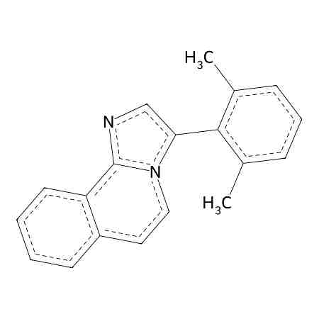 Cc1cccc(C)c1-c1cnc2c3ccccc3ccn12